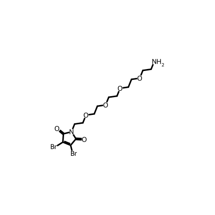 NCCOCCOCCOCCOCCN1C(=O)C(Br)=C(Br)C1=O